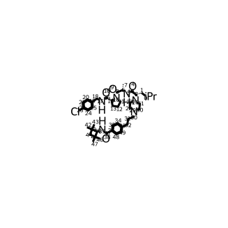 CC(C)C[C@@H](C(=O)N[C@@H](C)C(=O)N1CCC[C@H]1C(=O)NCc1ccc(Cl)cc1)N1CCN(CCCc2ccc(C(=O)NC3C(C)(C)CC3(C)C)cc2)CC1